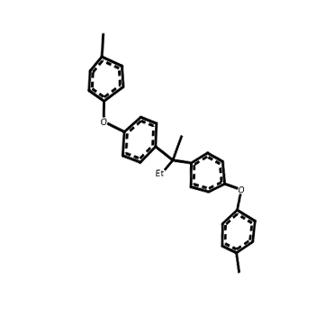 CCC(C)(c1ccc(Oc2ccc(C)cc2)cc1)c1ccc(Oc2ccc(C)cc2)cc1